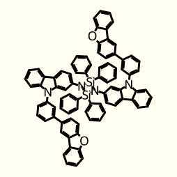 c1ccc([Si]2(c3ccccc3)N(c3ccc4c5ccccc5n(-c5cccc(-c6ccc7oc8ccccc8c7c6)c5)c4c3)[Si](c3ccccc3)(c3ccccc3)N2c2ccc3c4ccccc4n(-c4cccc(-c5ccc6oc7ccccc7c6c5)c4)c3c2)cc1